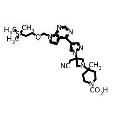 CC1(N2CC(CC#N)(n3cc(-c4ncnc5c4ccn5COCC[Si](C)(C)C)cn3)C2)CCN(C(=O)O)CC1